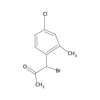 CC(=O)C(Br)c1ccc(Cl)cc1C